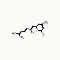 CC(C)=C/C=C/C(C)=C/C1CC(C)=CC(O)O1